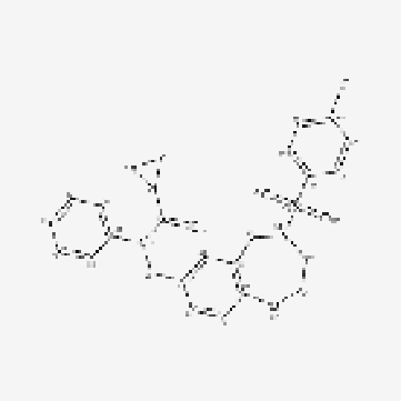 O=C(C1CC1)N(Cc1ccc2c(c1)CN(S(=O)(=O)c1ccc(F)cc1)CCO2)c1ccccc1